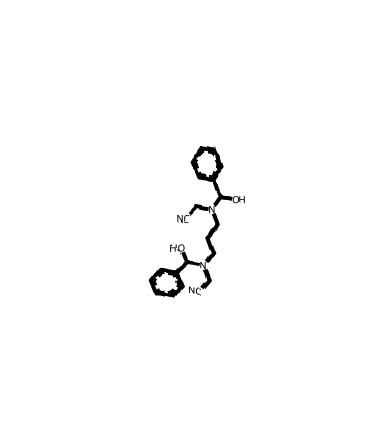 N#CCN(CCCN(CC#N)C(O)c1ccccc1)C(O)c1ccccc1